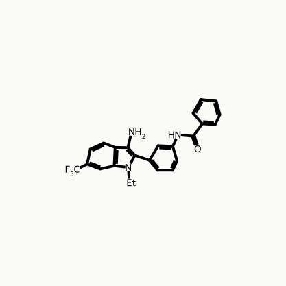 CCn1c(-c2cccc(NC(=O)c3ccccc3)c2)c(N)c2ccc(C(F)(F)F)cc21